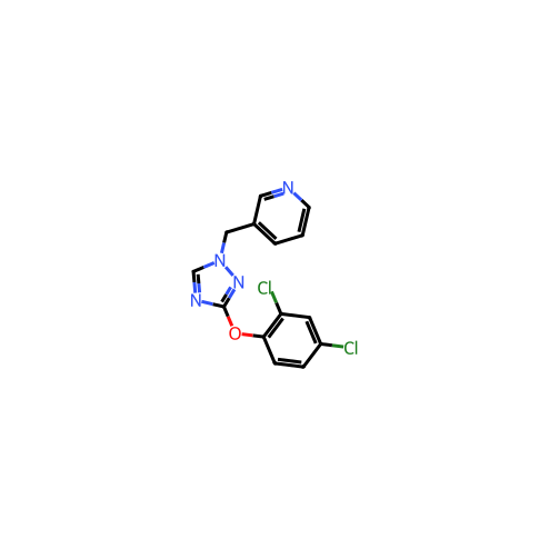 Clc1ccc(Oc2ncn(Cc3cccnc3)n2)c(Cl)c1